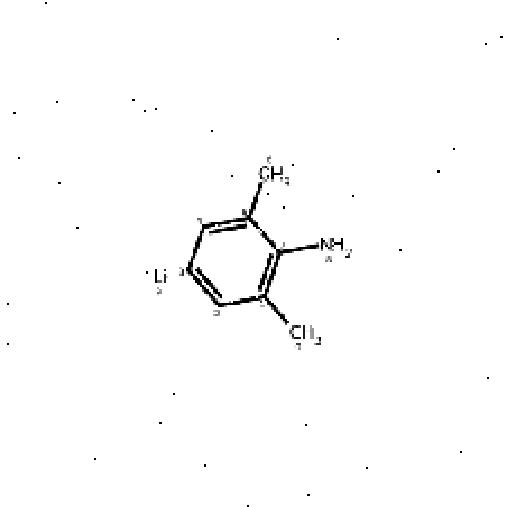 Cc1cccc(C)c1N.[Li]